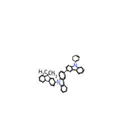 CC1(C)c2ccccc2-c2ccc(-n3c4ccccc4c4cc(-c5ccc6c(c5)c5ccccc5n6C5=CC=CCC5)ccc43)cc21